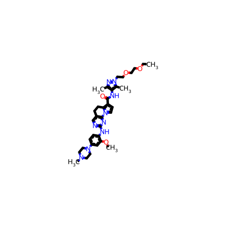 CCOCCOCCn1nc(C)c(NC(=O)c2ccn3c2CCc2cnc(Nc4ccc(N5CCN(C)CC5)cc4OC)nc2-3)c1C